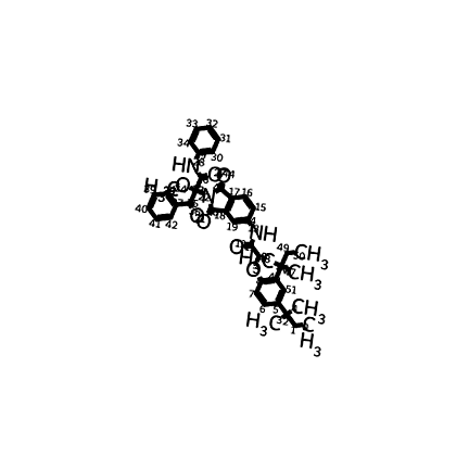 CCC(C)(C)c1ccc(OCC(=O)Nc2ccc3c(c2)C(=O)N(C(OC)(C(=O)Nc2ccccc2)C(=O)c2ccccc2)C3=O)c(C(C)(C)CC)c1